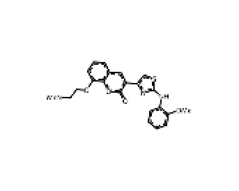 CNCCOc1cccc2cc(-c3csc(Nc4ccccc4OC)n3)c(=O)oc12